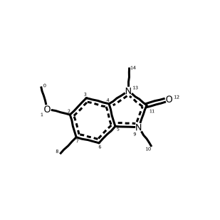 COc1cc2c(cc1C)n(C)c(=O)n2C